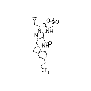 CS(=O)(=O)CC(=O)Nc1c2c(nn1CCC1CC1)C[C@@]1(CCc3cc(CCC(F)(F)F)ccc31)NC2=O